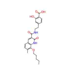 CCCCCOc1c(C)ccc2cc(C(=O)NCCc3ccc(C(=O)O)c(O)c3)c(=O)[nH]c12